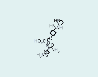 N=C(N[C@@H]1CCCNC1)c1ccc(OC[C@H](O/N=C(\C(N)=O)c2csc(N)n2)C(=O)O)cc1